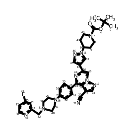 CC(C)(C)OC(=O)N1CCC(n2cc(-c3cn4ncc(C#N)c4c(-c4ccc(N5CCN(Cc6cc(F)ccn6)CC5)cc4)n3)cn2)CC1